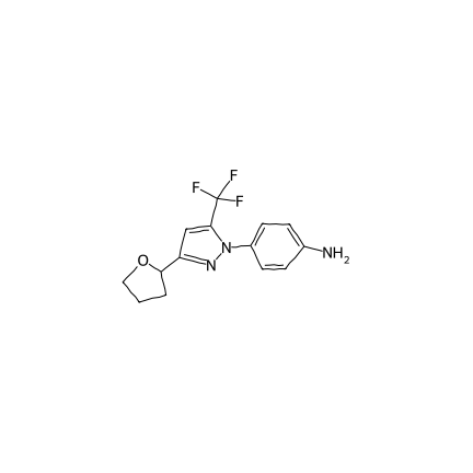 Nc1ccc(-n2nc(C3CCCO3)cc2C(F)(F)F)cc1